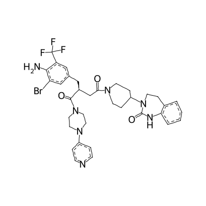 Nc1c(Br)cc(C[C@@H](CC(=O)N2CCC(N3CCc4ccccc4NC3=O)CC2)C(=O)N2CCN(c3ccncc3)CC2)cc1C(F)(F)F